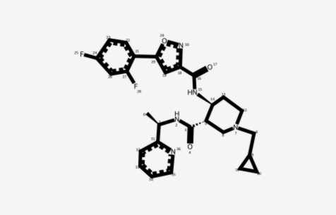 C[C@@H](NC(=O)[C@H]1CN(CC2CC2)CC[C@@H]1NC(=O)c1cc(-c2ccc(F)cc2F)on1)c1ccccn1